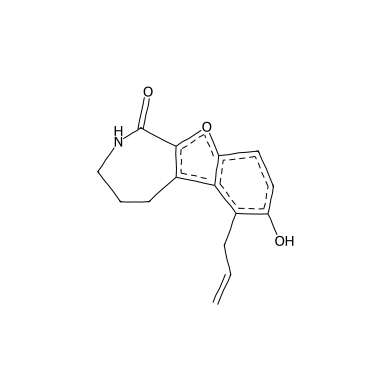 C=CCc1c(O)ccc2oc3c(c12)CCCNC3=O